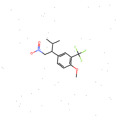 COc1ccc(C(C[N+](=O)[O-])C(C)C)cc1C(F)(F)F